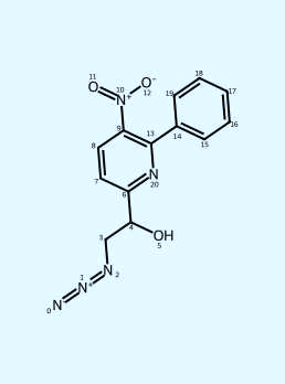 [N-]=[N+]=NCC(O)c1ccc([N+](=O)[O-])c(-c2ccccc2)n1